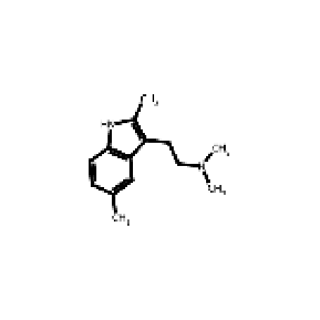 Cc1ccc2[nH]c(C)c(CCN(C)C)c2c1